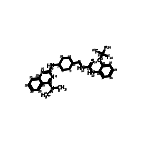 CN(C)c1nc(NC2CCC(CNC(=S)Nc3ccccc3OC(F)(F)F)CC2)nc2ccccc12